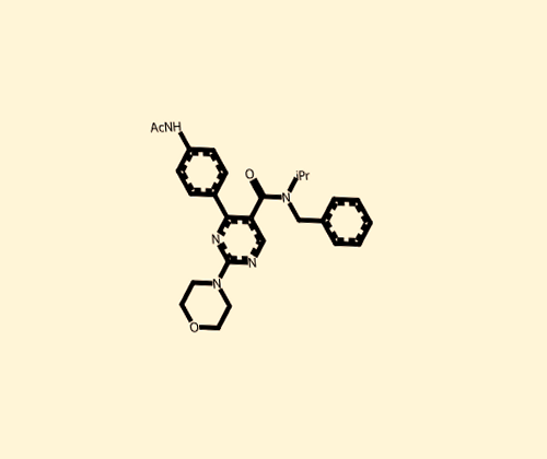 CC(=O)Nc1ccc(-c2nc(N3CCOCC3)ncc2C(=O)N(Cc2ccccc2)C(C)C)cc1